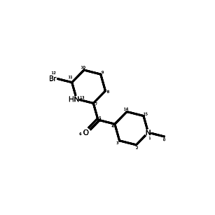 CN1CCC(C(=O)C2CCCC(Br)N2)CC1